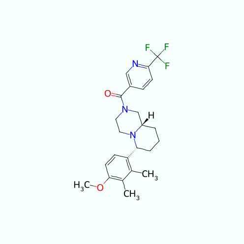 COc1ccc([C@H]2CCC[C@H]3CN(C(=O)c4ccc(C(F)(F)F)nc4)CCN32)c(C)c1C